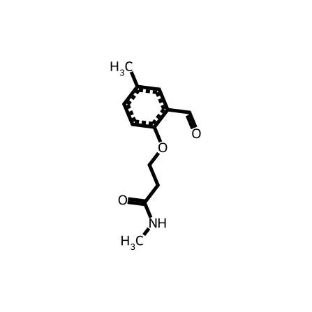 CNC(=O)CCOc1ccc(C)cc1C=O